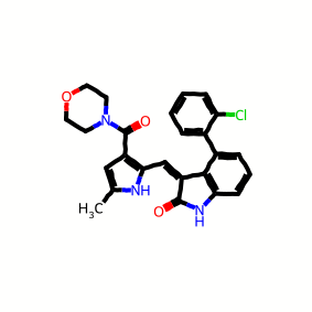 Cc1cc(C(=O)N2CCOCC2)c(/C=C2\C(=O)Nc3cccc(-c4ccccc4Cl)c32)[nH]1